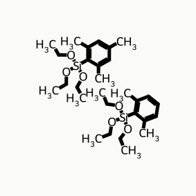 CCO[Si](OCC)(OCC)c1c(C)cc(C)cc1C.CCO[Si](OCC)(OCC)c1c(C)cccc1C